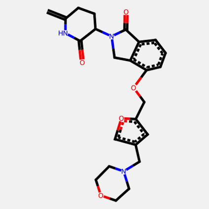 C=C1CCC(N2Cc3c(OCc4cc(CN5CCOCC5)co4)cccc3C2=O)C(=O)N1